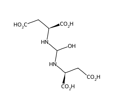 O=C(O)C[C@H](NC(O)N[C@@H](CC(=O)O)C(=O)O)C(=O)O